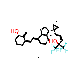 C=C1/C(=C\C=C2/CCC[C@@]3(C)C2CC[C@@H]3C2(C/C=C\C(O)(C(F)(F)F)C(F)(F)F)CC2)CCC[C@@H]1O